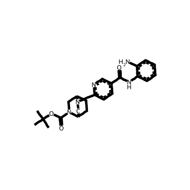 CC(C)(C)OC(=O)N1CC2CCC1CN2c1ccc(C(=O)Nc2ccccc2N)cn1